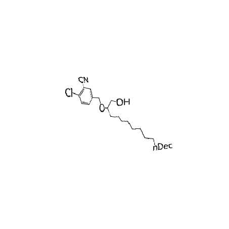 CCCCCCCCCCCCCCCCCCC(CO)OCc1ccc(Cl)c(C#N)c1